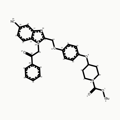 CC(C)(C)OC(=O)N1CCC(Oc2ccc(OCc3nc4cc(C#N)ccc4n3CC(=O)c3ccccc3)cc2)CC1